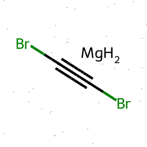 BrC#CBr.[MgH2]